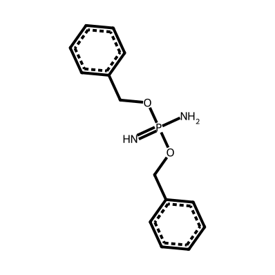 N=P(N)(OCc1ccccc1)OCc1ccccc1